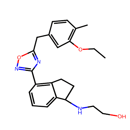 CCOc1cc(Cc2nc(-c3cccc4c3CCC4NCCO)no2)ccc1C